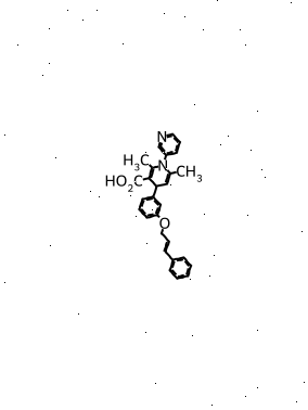 CC1=CC(c2cccc(OCC=Cc3ccccc3)c2)C(C(=O)O)=C(C)N1c1cccnc1